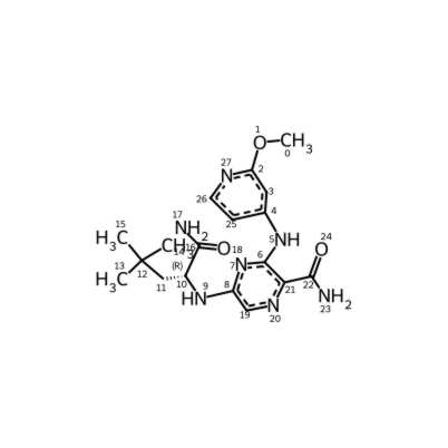 COc1cc(Nc2nc(N[C@H](CC(C)(C)C)C(N)=O)cnc2C(N)=O)ccn1